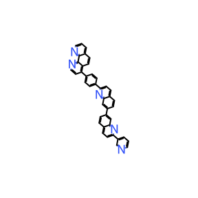 c1cncc(-c2ccc3ccc(-c4ccc5ccc(-c6ccc(-c7ccnc8c7ccc7cccnc78)cc6)nc5c4)cc3n2)c1